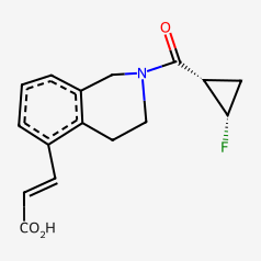 O=C(O)C=Cc1cccc2c1CCN(C(=O)[C@@H]1C[C@@H]1F)C2